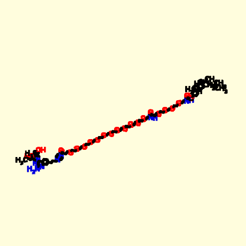 CCCCc1nc2c(N)nc3cc(CCCN4CCN(C(=O)CCOCCOCCOCCOCCOCCOCCOCCOCCOCCOCCOCCOCCNC(=O)CCOCCOCCOCCOCCNC(=O)O[C@H]5CC[C@@]6(C)C(=CC[C@H]7[C@@H]8CC[C@H]([C@H](C)CCCC(C)C)[C@@]8(C)CC[C@@H]76)C5)CC4)ccc3c2n1CC(C)(CO)CO